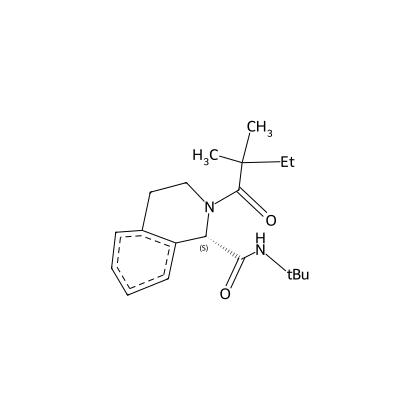 CCC(C)(C)C(=O)N1CCc2ccccc2[C@H]1C(=O)NC(C)(C)C